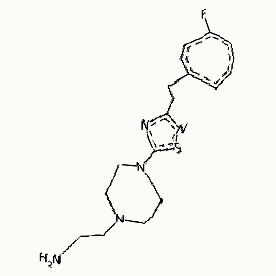 NCCN1CCN(c2nc(Cc3cccc(F)c3)ns2)CC1